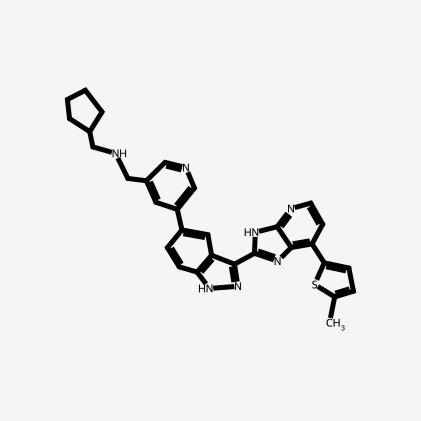 Cc1ccc(-c2ccnc3[nH]c(-c4n[nH]c5ccc(-c6cncc(CNCC7CCCC7)c6)cc45)nc23)s1